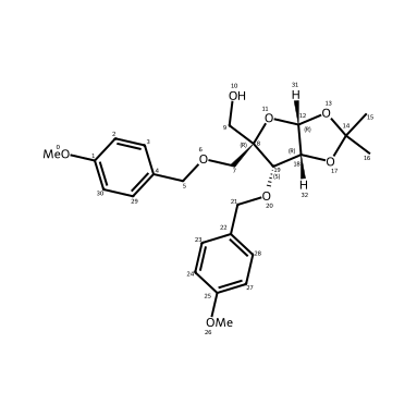 COc1ccc(COC[C@@]2(CO)O[C@@H]3OC(C)(C)O[C@@H]3[C@@H]2OCc2ccc(OC)cc2)cc1